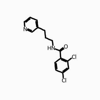 O=C(NCCCc1cccnc1)c1ccc(Cl)cc1Cl